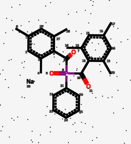 Cc1cc(C)c(C(=O)P(=O)(C(=O)c2c(C)cc(C)cc2C)c2ccccc2)c(C)c1.[Na]